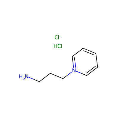 Cl.NCCC[n+]1ccccc1.[Cl-]